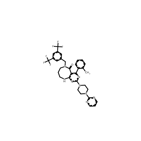 Cc1ccccc1-c1nc(N2CCN(c3ncccn3)CC2)nc2c1C(=O)N(Cc1cc(C(F)(F)F)cc(C(F)(F)F)c1)CCCN2